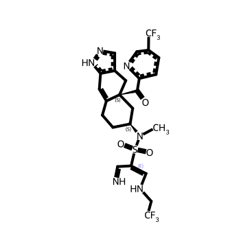 CN([C@H]1CCC2=Cc3[nH]ncc3C[C@]2(C(=O)c2ccc(C(F)(F)F)cn2)C1)S(=O)(=O)/C(C=N)=C/NCC(F)(F)F